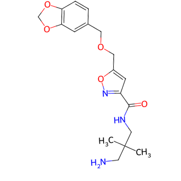 CC(C)(CN)CNC(=O)c1cc(COCc2ccc3c(c2)OCO3)on1